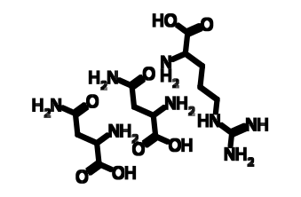 N=C(N)NCCCC(N)C(=O)O.NC(=O)CC(N)C(=O)O.NC(=O)CC(N)C(=O)O